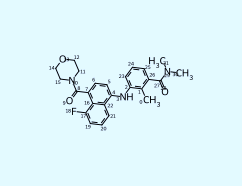 Cc1c(Nc2ccc(C(=O)N3CCOCC3)c3c(F)cccc23)cccc1C(=O)N(C)C